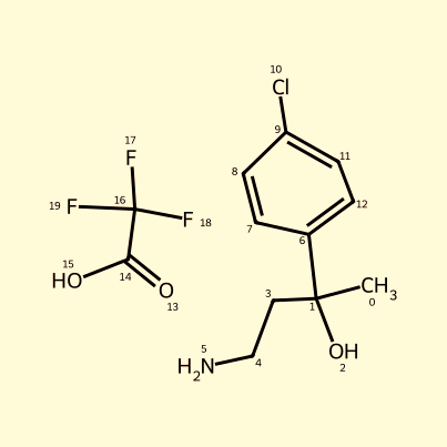 CC(O)(CCN)c1ccc(Cl)cc1.O=C(O)C(F)(F)F